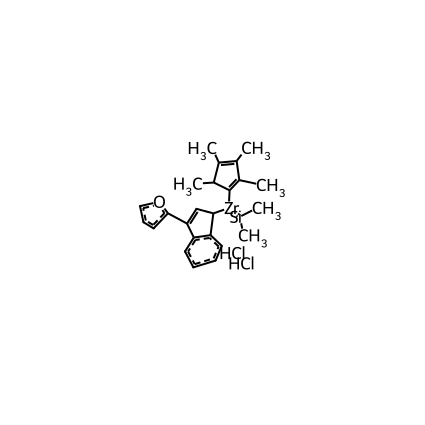 CC1=C(C)C(C)[C]([Zr]([CH]2C=C(c3ccco3)c3ccccc32)=[Si](C)C)=C1C.Cl.Cl